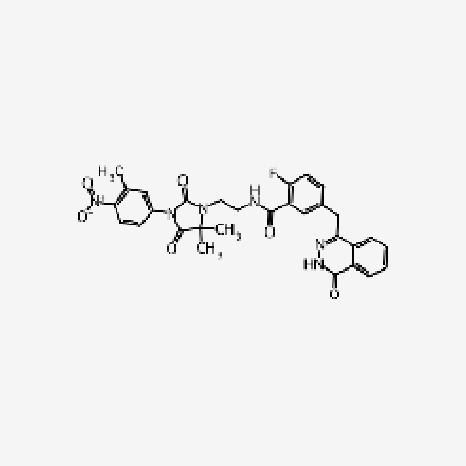 Cc1cc(N2C(=O)N(CCNC(=O)c3cc(Cc4n[nH]c(=O)c5ccccc45)ccc3F)C(C)(C)C2=O)ccc1[N+](=O)[O-]